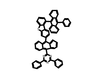 c1ccc(-c2nc(-c3ccccc3)nc(-c3c4ccccc4c(-c4ccc5c(c4)sc4cccc(-c6c7ccccc7c(-c7ccccc7)c7ccccc67)c45)c4ccccc34)n2)cc1